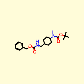 CC(C)(C)OC(=O)N[C@H]1CC[C@@H](CNC(=O)OCc2ccccc2)CC1